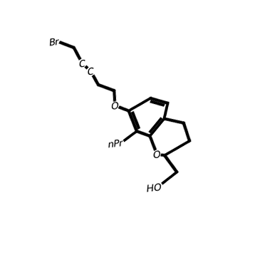 CCCc1c(OCCCCCBr)ccc2c1OC(CO)CC2